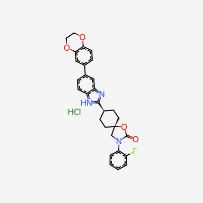 Cl.O=C1O[C@]2(CC[C@H](c3nc4cc(-c5ccc6c(c5)OCCO6)ccc4[nH]3)CC2)CN1c1ccccc1F